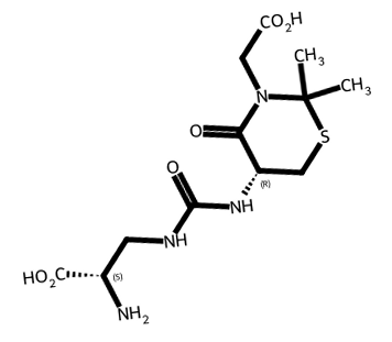 CC1(C)SC[C@H](NC(=O)NC[C@H](N)C(=O)O)C(=O)N1CC(=O)O